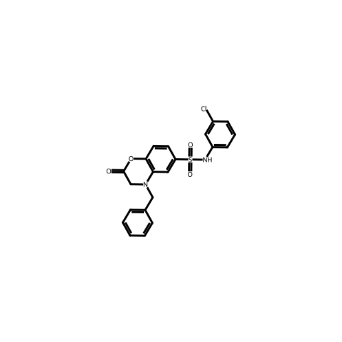 O=C1CN(Cc2ccccc2)c2cc(S(=O)(=O)Nc3cccc(Cl)c3)ccc2O1